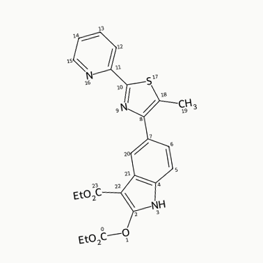 CCOC(=O)Oc1[nH]c2ccc(-c3nc(-c4ccccn4)sc3C)cc2c1C(=O)OCC